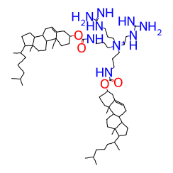 CC(C)CCCC(C)C1CCC2C3CC=C4CC(OC(=O)NCCC[N+](CCCNC(=N)N)(CCCNC(=O)OC5CCC6(C)C(=CCC7C6CCC6(C)C(C(C)CCCC(C)C)CCC76)C5)CCNC(=N)N)CCC4(C)C3CCC12C